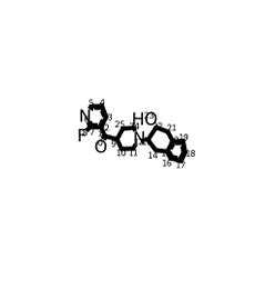 O=C(c1cccnc1F)C1CCN(C2Cc3ccccc3CC2O)CC1